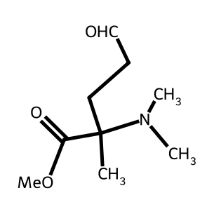 COC(=O)C(C)(CCC=O)N(C)C